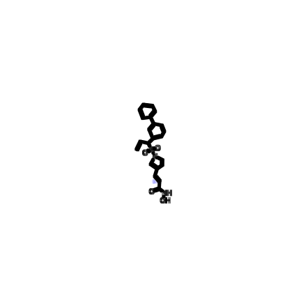 C=CC(c1cccc(-c2ccccc2)c1)S(=O)(=O)n1ccc(/C=C/C(=O)NO)c1